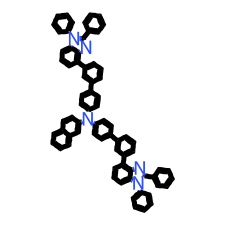 c1ccc(-c2nc3c(-c4cccc(-c5ccc(N(c6ccc(-c7cccc(-c8cccc9c8nc(-c8ccccc8)n9-c8ccccc8)c7)cc6)c6ccc7ccccc7c6)cc5)c4)cccc3n2-c2ccccc2)cc1